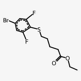 CCOC(=O)CCCCSc1c(F)cc(Br)cc1F